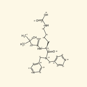 CC(C)(C)OC(=O)N[C@@H](CCCCNC(=O)O)C(=O)N(Cc1ccncc1)Cc1ccncc1